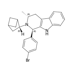 C[C@@H]1Cc2c([nH]c3ccccc23)[C@@H](c2ccc(Br)cc2)N1[C@@H]1CC2CC1C2